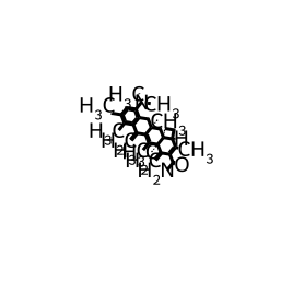 C=C1C2=C(C)[C@]3(C)C(=C)C(C(N)=O)=C(C)[C@H]4CC[C@]43C[C@]2(C)Cc2c(N(C)C)cc(CC)c(C)c21